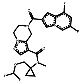 CN(C(=O)c1cnn2c1CN(C(=O)c1cc3c(F)cc(F)cn3c1)CC2)C1(COC(F)F)CC1